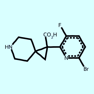 O=C(O)C1(c2nc(Br)ccc2F)CC12CCNCC2